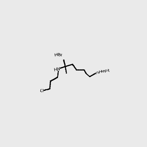 Br.CCCCCCCCCCCC(C)(C)NCCCCl